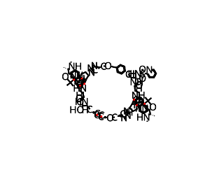 CN[C@@H](C)C(=O)N[C@H](C(=O)N1CC[C@@H]2C1C(=O)N[C@@H](Cc1ccc3ccccc3c1)C(=O)N[C@H](C(=O)NS(=O)(=O)c1ccccn1)Cc1ccc(cc1)OCc1cn(nn1)C1CCN(C(=O)[C@@H](NC(=O)[C@H](C)NC)C(C)(C)C)[C@@H]1C(=O)N[C@@H](Cc1ccc3ccccc3c1)C(=O)N[C@H](C(=O)O)Cc1ccc(cc1)OCc1cn2nn1)C(C)(C)C